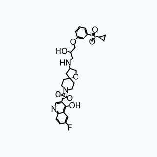 O=S(=O)(c1cccc(OCC(O)CNC2COC3(CCN(S(=O)(=O)c4cnc5ccc(F)cc5c4O)CC3)C2)c1)C1CC1